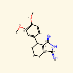 COc1ccc(C2CCCC3=C2C(=N)NC3=N)cc1OC